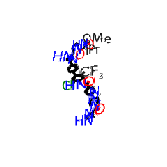 COC(=O)N[C@H](C(=O)N1CCC[C@H]1c1nc(-c2ccc(-c3cc(Cl)c(NC(=O)c4ccc(N5CCN(C(=O)c6c[nH]cn6)C[C@H]5C)nc4)cc3C(F)(F)F)cc2)c[nH]1)C(C)C